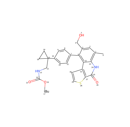 Cc1cc(CO)c(-c2ccc(C3(CNC(=O)OC(C)(C)C)CC3)cc2)c2c1[nH]c(=O)c1sccc12